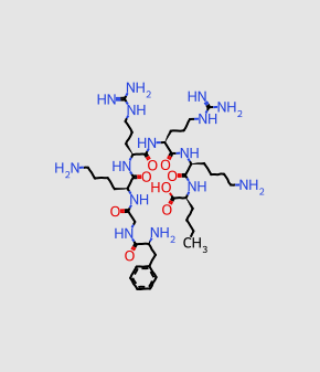 CCCC[C@H](NC(=O)[C@H](CCCCN)NC(=O)[C@H](CCCNC(=N)N)NC(=O)[C@H](CCCNC(=N)N)NC(=O)[C@H](CCCCN)NC(=O)CNC(=O)[C@@H](N)Cc1ccccc1)C(=O)O